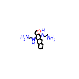 NCCNc1c2cc3ccccc3cc2c(NCCN)c2occc12